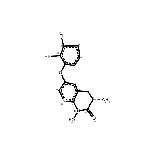 N[C@H]1Cc2cc(Oc3cccc(Cl)c3F)cnc2N(O)C1=O